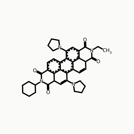 CCN1C(=O)c2cc(N3CCCC3)c3c4c(c5c6c7c(ccc63)C(=O)N(C3CCCCC3)C(=O)C7C=C5N3CCCC3)C=CC(C1=O)c24